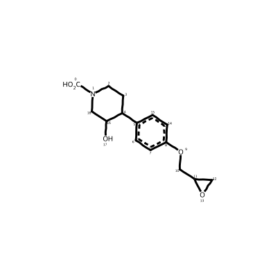 O=C(O)N1CCC(c2ccc(OCC3CO3)cc2)C(O)C1